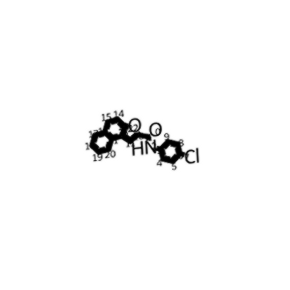 O=C(Nc1ccc(Cl)cc1)c1cc2c(ccc3ccccc32)o1